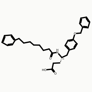 O=C(O)CC[C@@H](Cc1ccc(OCc2ccccc2)cc1)NC(=O)CCCCCCCc1ccccc1